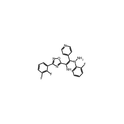 N/C(=C(/c1ccncc1)N(N)c1ccccc1F)c1nc(-c2cccc(F)c2F)no1